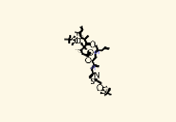 C=CC/C(C)=C\CC(OC(=O)C[C@H](C)C(C)(C)C(=O)C(C)[C@@H](O[Si](C)(C)C(C)(C)C)[C@@H](C)C=C)/C(C)=C/c1csc(CO[Si](C)(C)C(C)(C)C)n1